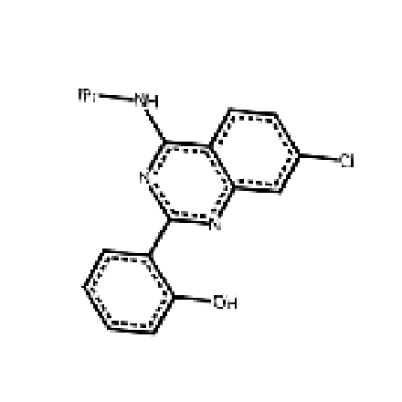 CC(C)Nc1nc(-c2ccccc2O)nc2cc(Cl)ccc12